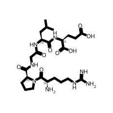 CC(C)C[C@H](NC(=O)CNC(=O)[C@@H]1CCCN1C(=O)[C@@H](N)CCCNC(=N)N)C(=O)N[C@@H](CCC(=O)O)C(=O)O